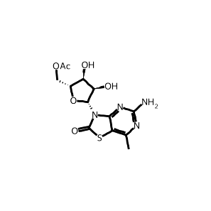 CC(=O)OC[C@H]1O[C@@H](n2c(=O)sc3c(C)nc(N)nc32)[C@H](O)[C@@H]1O